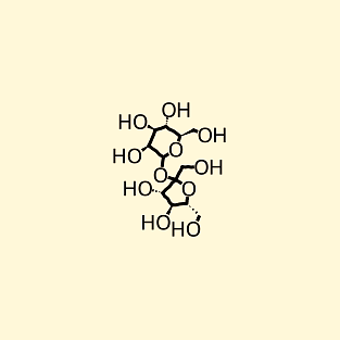 OC[C@H]1OC(CO)(OC2O[C@H](CO)[C@@H](O)[C@H](O)[C@@H]2O)[C@@H](O)[C@@H]1O